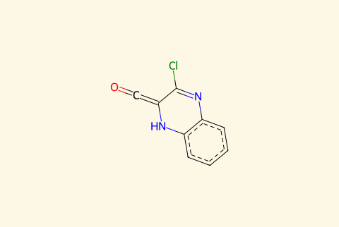 O=C=C1Nc2ccccc2N=C1Cl